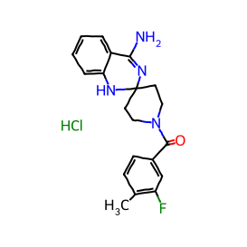 Cc1ccc(C(=O)N2CCC3(CC2)N=C(N)c2ccccc2N3)cc1F.Cl